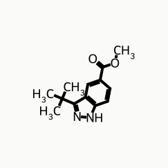 COC(=O)c1ccc2[nH]nc(C(C)(C)C)c2c1